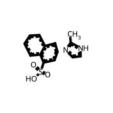 Cc1ncc[nH]1.O=S(=O)(O)c1cccc2ccccc12